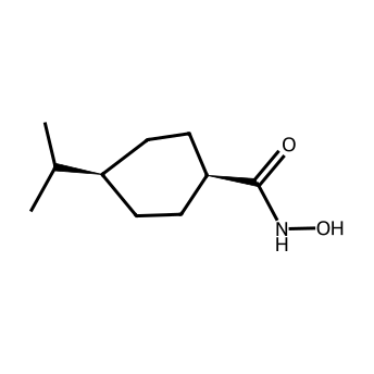 CC(C)[C@H]1CC[C@@H](C(=O)NO)CC1